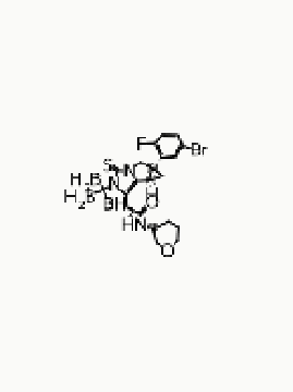 BC(B)(B)n1c(CC(=O)N[C@@H]2CCCOC2)c2n(c1=S)C[C@@]1(c3cc(Br)ccc3F)C[C@@H]21